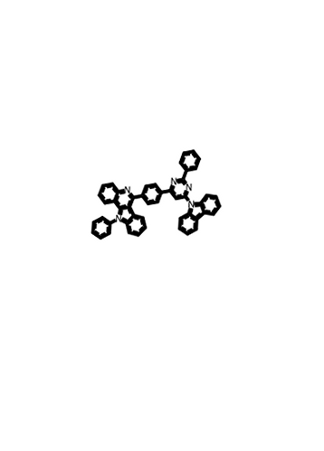 c1ccc(-c2nc(-c3ccc(-c4nc5ccccc5c5c4c4ccccc4n5-c4ccccc4)cc3)cc(-n3c4ccccc4c4ccccc43)n2)cc1